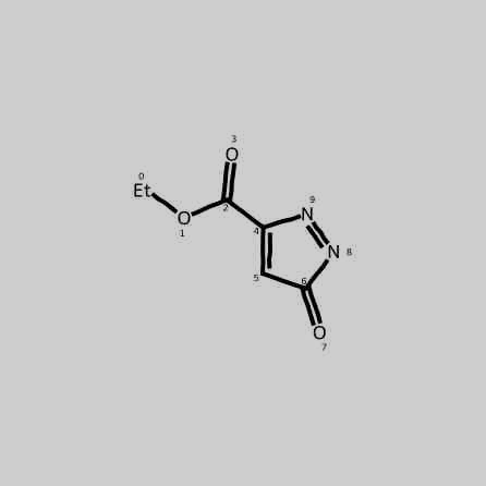 CCOC(=O)C1=CC(=O)N=N1